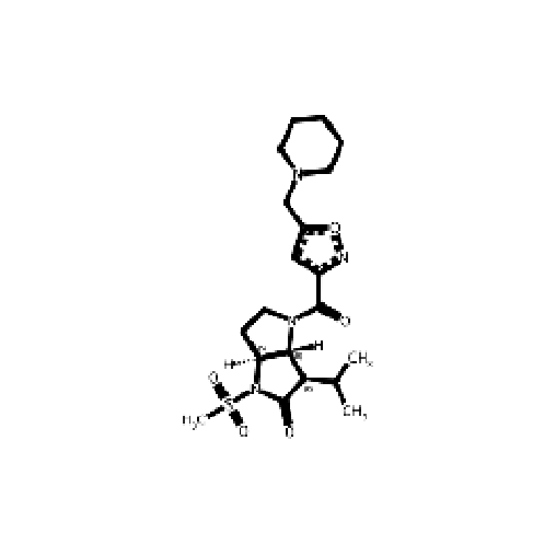 CC(C)[C@H]1C(=O)N(S(C)(=O)=O)[C@H]2CCN(C(=O)c3cc(CN4CCCCC4)on3)[C@H]12